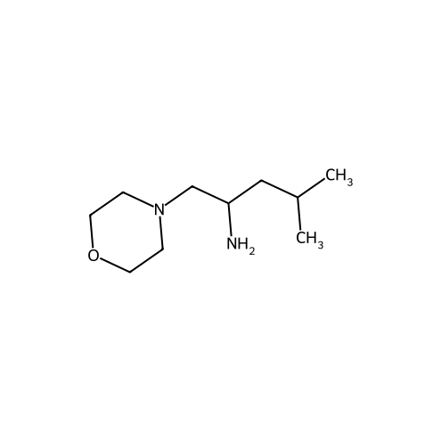 CC(C)CC(N)CN1CCOCC1